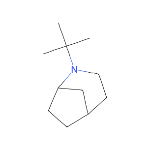 CC(C)(C)N1CCC2CCC1C2